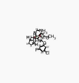 COCn1nc(NC2[C@@H]3CC[C@H]2CN(c2cc(C)ncn2)C3)nc1Oc1cc(F)cc(Cl)c1